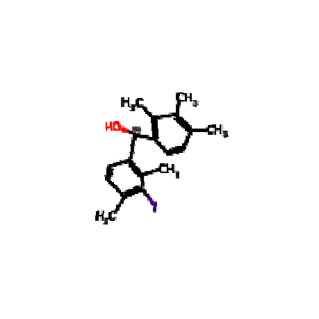 Cc1ccc([C@H](O)c2ccc(C)c(I)c2C)c(C)c1C